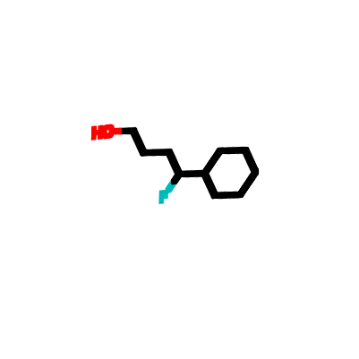 OCCCC(F)C1CCCCC1